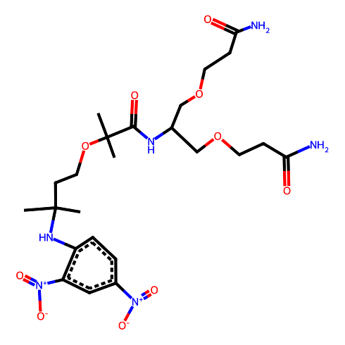 CC(C)(CCOC(C)(C)C(=O)NC(COCCC(N)=O)COCCC(N)=O)Nc1ccc([N+](=O)[O-])cc1[N+](=O)[O-]